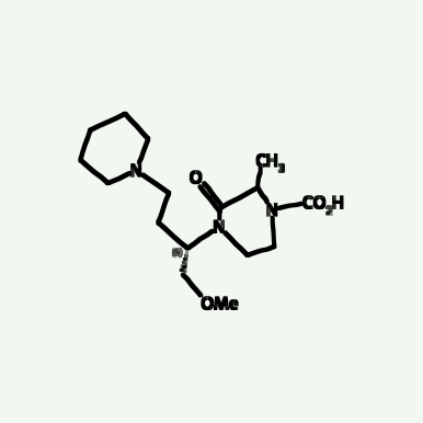 COC[C@H](CCN1CCCCC1)N1CCN(C(=O)O)C(C)C1=O